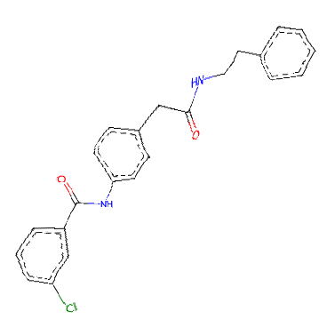 O=C(Cc1ccc(NC(=O)c2cccc(Cl)c2)cc1)NCCc1ccccc1